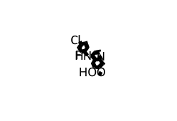 COc1cc2nccc(Nc3ccc(Cl)cc3F)c2cc1O